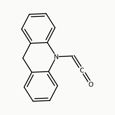 O=C=CN1c2ccccc2Cc2ccccc21